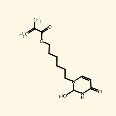 C=C(C)C(=O)OCCCCCCN1C=CC(=O)NC1O